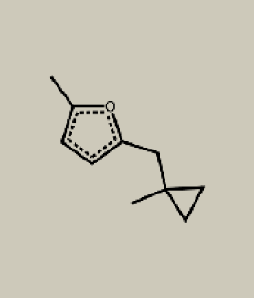 Cc1ccc(CC2(C)CC2)o1